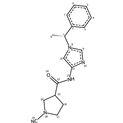 C[C@H](c1ccccc1)n1cnc(NC(=O)C2CCN(C#N)C2)c1